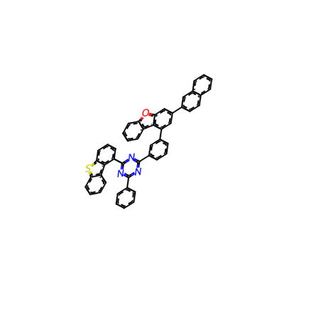 c1ccc(-c2nc(-c3cccc(-c4cc(-c5ccc6ccccc6c5)cc5oc6ccccc6c45)c3)nc(-c3cccc4sc5ccccc5c34)n2)cc1